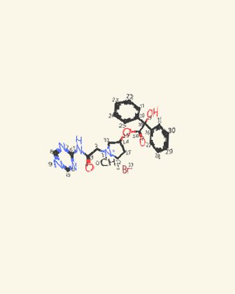 C[N@@+]1(CC(=O)Nc2ncncn2)CCC(OC(=O)C(O)(c2ccccc2)c2ccccc2)C1.[Br-]